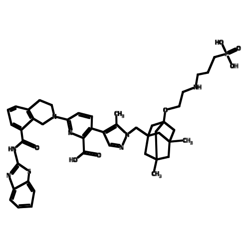 Cc1c(-c2ccc(N3CCc4cccc(C(=O)Nc5nc6ccccc6s5)c4C3)nc2C(=O)O)cnn1CC12CC3(C)CC(C)(C1)CC(OCCNCCCP(=O)(O)O)(C3)C2